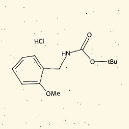 COc1ccccc1CNC(=O)OC(C)(C)C.Cl